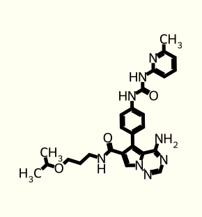 Cc1cccc(NC(=O)Nc2ccc(-c3c(C(=O)NCCCOC(C)C)cn4ncnc(N)c34)cc2)n1